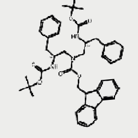 CC(C)(C)OC(=O)N[C@@H](Cc1ccccc1)CN(C[C@H](Cc1ccccc1)NC(=O)OC(C)(C)C)C(=O)OCC1c2ccccc2-c2ccccc21